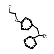 CCC(Cc1ccc(OCCCl)cc1)c1ccccc1